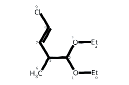 CCOC(OCC)C(C)/C=C/Cl